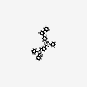 c1ccc(-c2nc(-c3ccc(-c4cccc5c4oc4ccccc45)cc3)nc(-c3ccc4c(c3)nc3n(-c5ccccc5)c5c6ccccc6oc5n43)n2)cc1